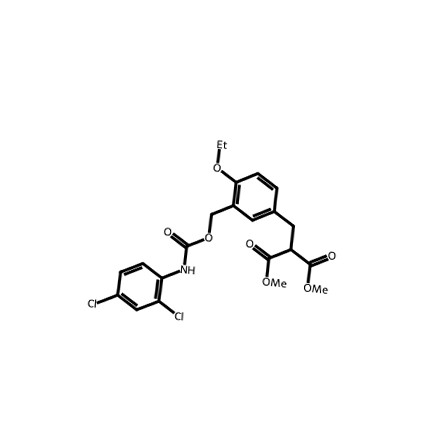 CCOc1ccc(CC(C(=O)OC)C(=O)OC)cc1COC(=O)Nc1ccc(Cl)cc1Cl